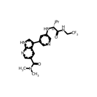 CC(C)[C@@H](Nc1cncc(-c2c[nH]c3ncc(C(=O)N(C)C)cc23)c1)C(=O)NCC(F)(F)F